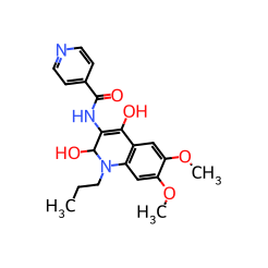 CCCN1c2cc(OC)c(OC)cc2C(O)=C(NC(=O)c2ccncc2)C1O